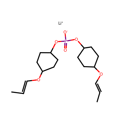 CC=COC1CCC(OP(=O)([O-])OC2CCC(OC=CC)CC2)CC1.[Li+]